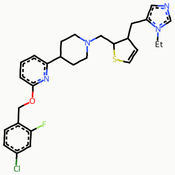 CCn1cncc1CC1C=CSC1CN1CCC(c2cccc(OCc3ccc(Cl)cc3F)n2)CC1